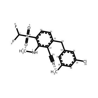 CNc1c(S(=O)(=O)C(F)F)ccc(Cc2cc(C)cc(Cl)c2)c1C#N